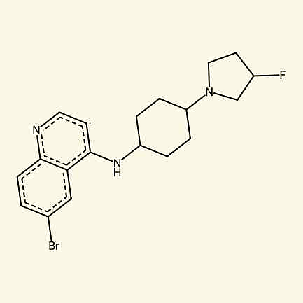 FC1CCN(C2CCC(Nc3[c]cnc4ccc(Br)cc34)CC2)C1